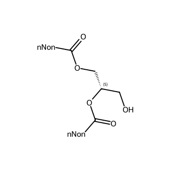 CCCCCCCCCC(=O)OC[C@H](CO)OC(=O)CCCCCCCCC